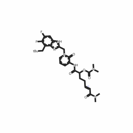 CN(C)C(=O)/C=C/CCC(OC(=O)N(C)C)C(=O)Nc1cccn(Cc2nc3c(CC(C)(C)C)c(F)c(F)cc3[nH]2)c1=O